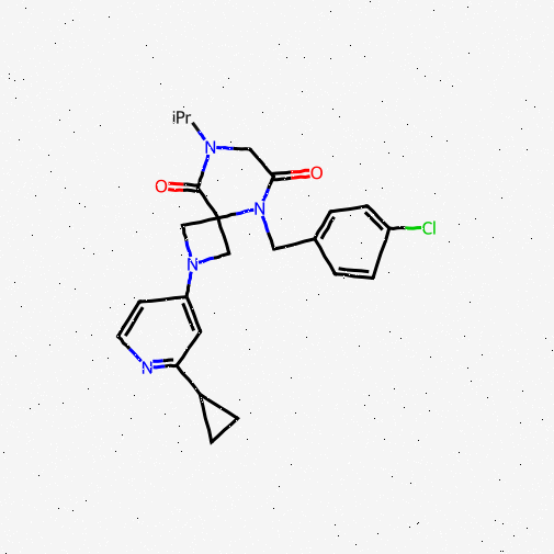 CC(C)N1CC(=O)N(Cc2ccc(Cl)cc2)C2(CN(c3ccnc(C4CC4)c3)C2)C1=O